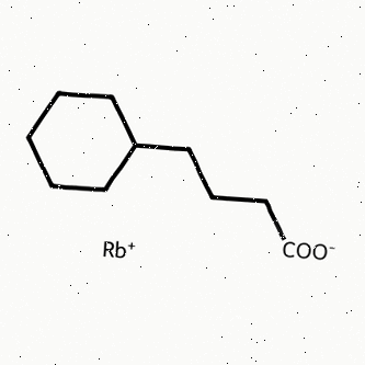 O=C([O-])CCCC1CCCCC1.[Rb+]